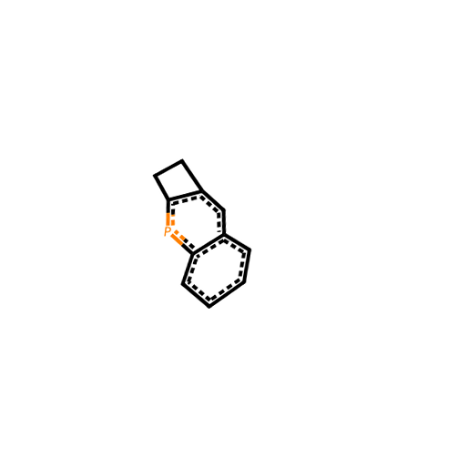 c1ccc2pc3c(cc2c1)CC3